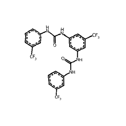 O=C(Nc1cccc(C(F)(F)F)c1)Nc1cc(NC(=O)Nc2cccc(C(F)(F)F)c2)cc(C(F)(F)F)c1